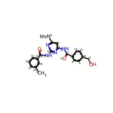 CNc1cc(NC(=O)c2ccc(CO)cc2)nc(NC(=O)c2cccc(C)c2)n1